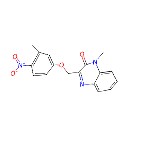 Cc1cc(OCc2nc3ccccc3n(C)c2=O)ccc1[N+](=O)[O-]